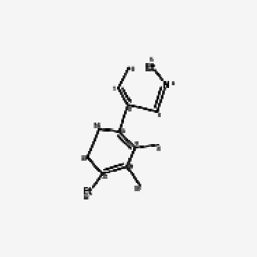 C/C=C(\C=N/CC)C1=C(C)C(C)=C(CC)CC1